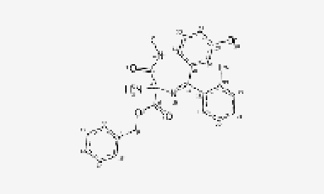 CN1C(=O)C(N)(C(=O)OCc2ccccc2)N=C(c2ccccc2F)c2cc(Br)ccc21